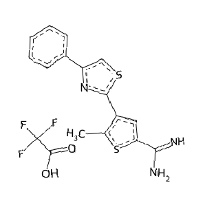 Cc1sc(C(=N)N)cc1-c1nc(-c2ccccc2)cs1.O=C(O)C(F)(F)F